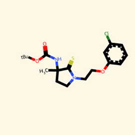 CC(C)(C)OC(=O)NC1(C)CCN(CCOc2cccc(Cl)c2)C1=S